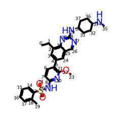 CCc1cc(-c2ccc(NS(=O)(=O)c3ccccc3C)nc2OC)cc2cnc(N[C@H]3CC[C@H](NC)CC3)nc12